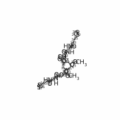 COc1ccc2c(c1)Cc1cc(OCC(=O)NCCNC(=O)CCCCC3CCSS3)c(OC)cc1CCc1cc(COCC(=O)NCCNC(=O)CCCC3CCSS3)c(OC)cc1C2